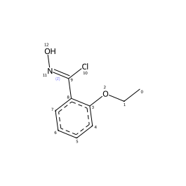 CCOc1ccccc1/C(Cl)=N/O